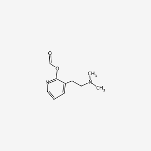 CN(C)CCc1cccnc1OC=O